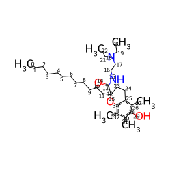 CCCCCCCCCCCCC1(C(=O)NCCN(CC)CC)CCc2c(C)c(O)c(C)c(C)c2O1